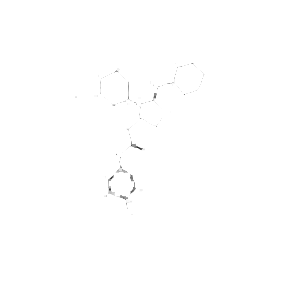 Cl.O=C(CC1CS/C(=N\C2CCCCC2)N1C1CCCCC1)Nc1ccc(Br)cc1